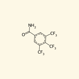 NC(=O)c1cc(C(F)(F)F)c(C(F)(F)F)c(C(F)(F)F)c1